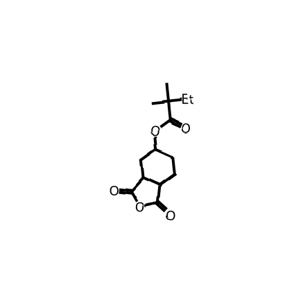 CCC(C)(C)C(=O)OC1CCC2C(=O)OC(=O)C2C1